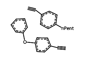 C#Cc1ccc(CCCCC)cc1.C#Cc1ccc(Oc2ccccc2)cc1